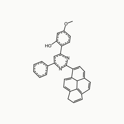 COc1ccc(-c2cc(-c3ccccc3)nc(C3=CC=C4C=CC5=C6C(=CC=C3C46)CC=C5)n2)c(O)c1